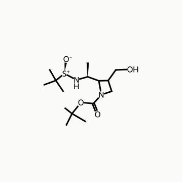 C[C@H](N[S@+]([O-])C(C)(C)C)C1C(CO)CN1C(=O)OC(C)(C)C